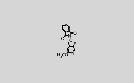 COc1cc(CON2C(=O)c3ccccc3C2=O)c(F)cn1